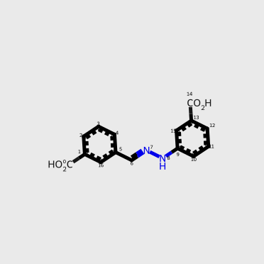 O=C(O)c1cccc(/C=N/Nc2cccc(C(=O)O)c2)c1